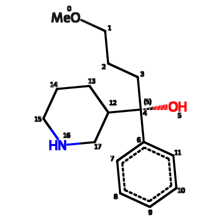 COCCC[C@@](O)(c1ccccc1)C1CCCNC1